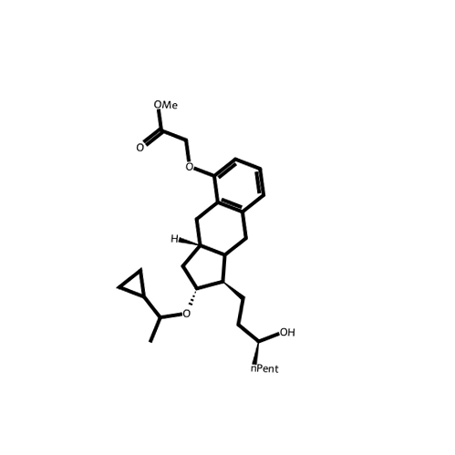 CCCCC[C@H](O)CC[C@@H]1C2Cc3cccc(OCC(=O)OC)c3C[C@H]2C[C@H]1OC(C)C1CC1